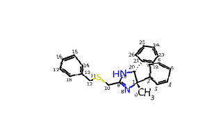 C[C@@]1(C2C=CC=CC2)N=C(CSCc2ccccc2)N[C@@H]1c1ccccc1